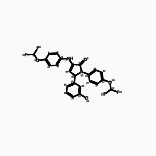 O=C1C(Nc2ccc(OC(F)F)cc2)=CC(c2cccc(Cl)c2)N1c1ccc(OC(F)F)cc1